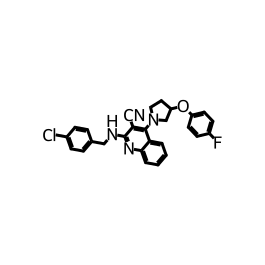 N#Cc1c(NCc2ccc(Cl)cc2)nc2ccccc2c1N1CCC(Oc2ccc(F)cc2)C1